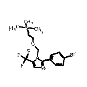 C[Si](C)(C)CCOCn1c(C(F)(F)F)cnc1-c1ccc(Br)cc1